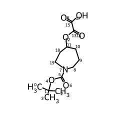 CC(C)(C)OC(=O)N1CCCC(OC(=O)C(=O)O)CC1